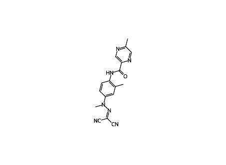 Cc1cnc(C(=O)Nc2ccc(N(C)N=C(C#N)C#N)cc2C)cn1